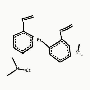 C=Cc1ccccc1.C=Cc1ccccc1CC.CCN(C)C.CN